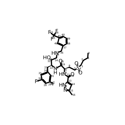 CCCCS(=O)(=O)CC[C@@H](NC(=O)c1cc(C)n[nH]1)C(=O)N[C@@H](Cc1cc(F)cc(F)c1)[C@@H](O)CNCc1cccc(C(F)(F)F)c1